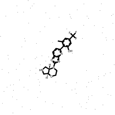 Cc1cc(C(F)(F)F)cc(O)c1-c1ccc2oc(N3CCO[C@H]4CNC[C@@H]43)nc2n1